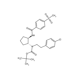 CC(C)(C)OC(=O)N(CCc1ccc(Cl)cc1)[C@@H]1CCC[C@H]1NC(=O)c1ccc(S(C)(=O)=O)cc1